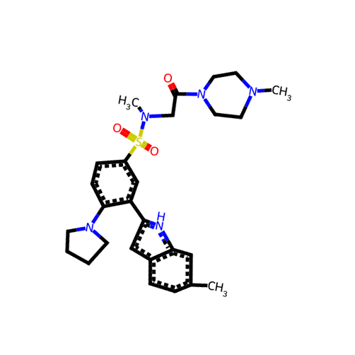 Cc1ccc2cc(-c3cc(S(=O)(=O)N(C)CC(=O)N4CCN(C)CC4)ccc3N3CCCC3)[nH]c2c1